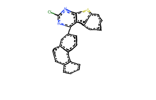 Clc1nc(-c2ccc3c(ccc4ccccc43)c2)c2c(n1)sc1ccccc12